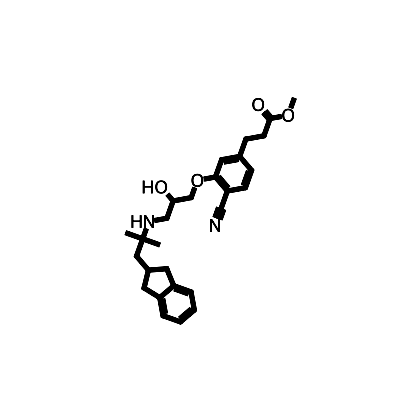 COC(=O)CCc1ccc(C#N)c(OCC(O)CNC(C)(C)CC2Cc3ccccc3C2)c1